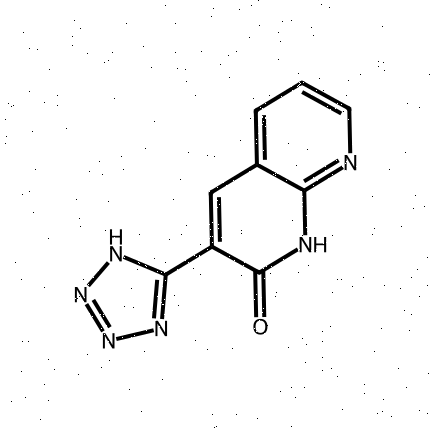 O=c1[nH]c2ncccc2cc1-c1nnn[nH]1